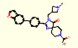 CC(=O)N1CC(CN2C(=O)C3(CCN(C(=O)C(C)C)CC3)N=C2c2ccc(-c3ccc4occc4c3)cc2)C1